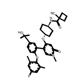 Cc1cc(F)cc(C)c1Oc1ccc(C(C)(C)O)cc1-c1cn(C)c(=O)cc1O[C@H]1CC[C@H](NC(=O)C2(C#N)CCC2)CC1